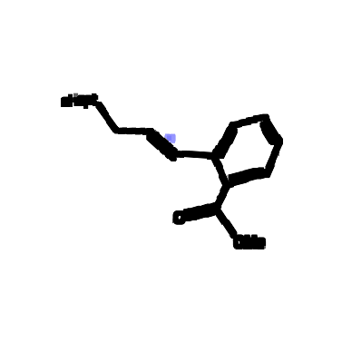 CCCCCCCC/C=C/c1ccccc1C(=O)OC